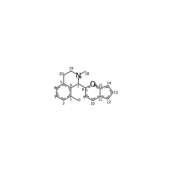 Cc1cccc2c1C(c1ccc3cccc-3o1)N(C)CC2